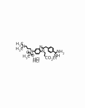 CCOC(=O)CCn1c(Cc2ccc(C(=N)N)cc2)nc2cc(N(CCCN(C)C)S(C)(=O)=O)ccc21.Cl.Cl